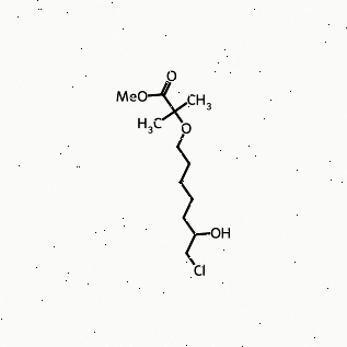 COC(=O)C(C)(C)OCCCCCC(O)CCl